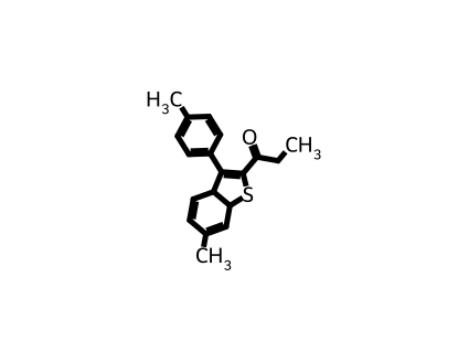 CCC(=O)C1=C(c2ccc(C)cc2)C2C=CC(C)=CC2S1